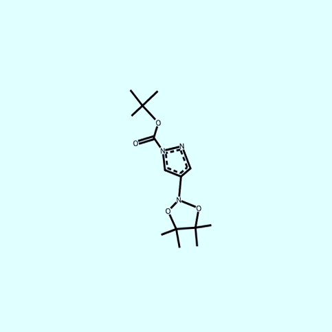 CC(C)(C)OC(=O)n1cc(N2OC(C)(C)C(C)(C)O2)cn1